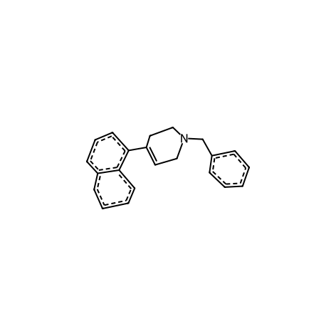 C1=C(c2cccc3ccccc23)CCN(Cc2ccccc2)C1